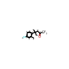 Cc1cc(F)ccc1C(C)(C)CC(=O)C(F)(F)F